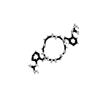 CC(=O)Oc1ccccc1CN1CCOCCOCCN(Cc2ccccc2OC(C)=O)CCOCCOCC1